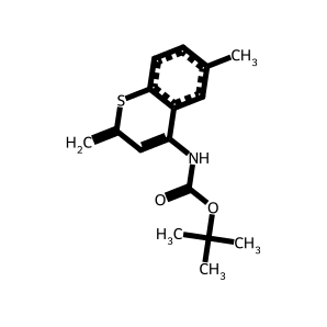 C=C1C=C(NC(=O)OC(C)(C)C)c2cc(C)ccc2S1